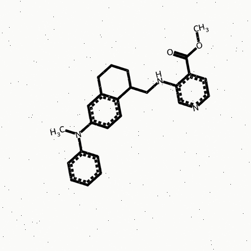 COC(=O)c1ccncc1NCC1CCCc2cc(N(C)c3ccccc3)ccc21